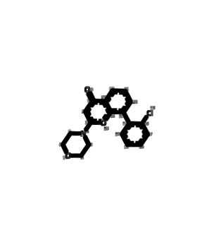 O=c1cc(N2CCOCC2)oc2c(-c3ccccc3Cl)cccc12